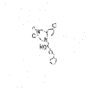 O=C1CCN(C[C@@H](O)COCc2ccccc2)c2ccc(Cl)cc2CN1C1CC1